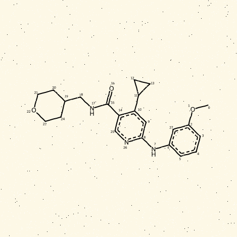 COc1cccc(Nc2cc(C3CC3)c(C(=O)NCC3CCOCC3)cn2)c1